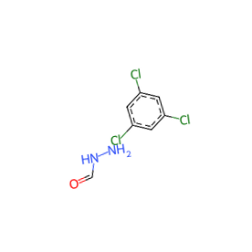 Clc1cc(Cl)cc(Cl)c1.NNC=O